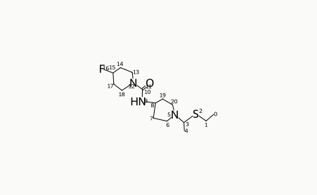 CCSC(C)N1CCC(NC(=O)N2CCC(F)CC2)CC1